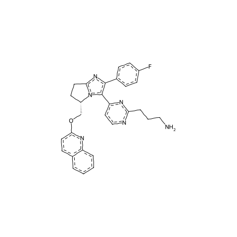 NCCCc1nccc(-c2c(-c3ccc(F)cc3)nc3n2[C@H](COc2ccc4ccccc4n2)CC3)n1